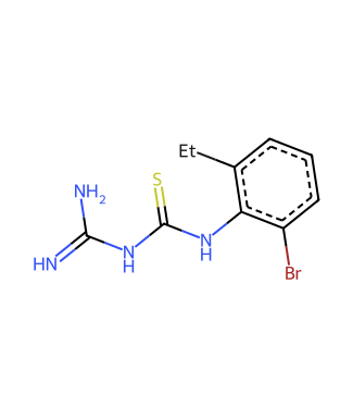 CCc1cccc(Br)c1NC(=S)NC(=N)N